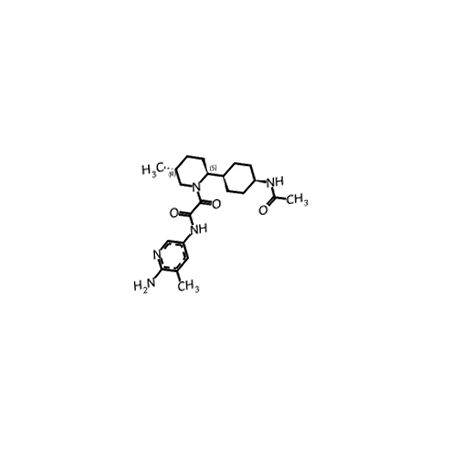 CC(=O)N[C@H]1CC[C@@H]([C@@H]2CC[C@@H](C)CN2C(=O)C(=O)Nc2cnc(N)c(C)c2)CC1